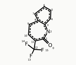 O=c1nc2ccccc2ccc1C(F)(F)F